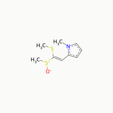 CSC(=Cc1cccn1C)[S+](C)[O-]